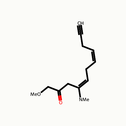 C#CC/C=C\C/C=C(\CC(=O)COC)NC